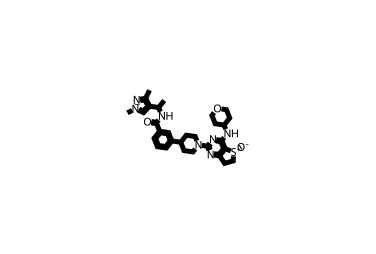 Cc1nn(C)cc1C(C)NC(=O)c1cccc(C2CCN(c3nc4c(c(NC5CCOCC5)n3)[S+]([O-])CC4)CC2)c1